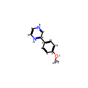 CC(C)Oc1ccc(-c2cnccn2)cc1